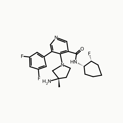 C[C@]1(N)CCN(c2c(C(=O)N[C@H]3CCCC[C@H]3F)cncc2-c2cc(F)cc(F)c2)C1